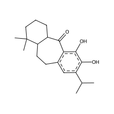 CC(C)c1cc2c(c(O)c1O)C(=O)C1CCCC(C)(C)C1CC2